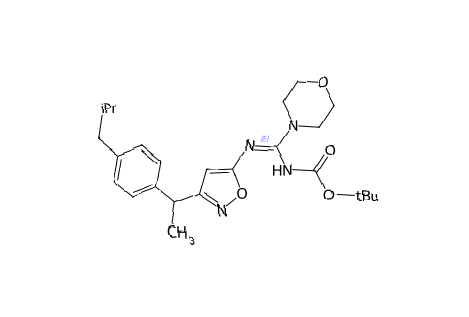 CC(C)Cc1ccc(C(C)c2cc(/N=C(\NC(=O)OC(C)(C)C)N3CCOCC3)on2)cc1